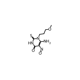 COCCCn1c(N)c(N=O)c(=O)[nH]c1=S